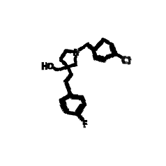 OCC1(CCc2ccc(F)cc2)CCN(Cc2ccc(Cl)cc2)C1